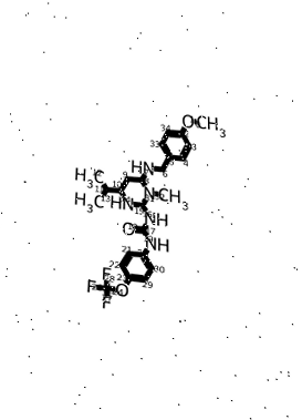 COc1ccc(CNC2CC(C(C)C)NC(NC(=O)Nc3ccc(OC(F)(F)F)cc3)N2C)cc1